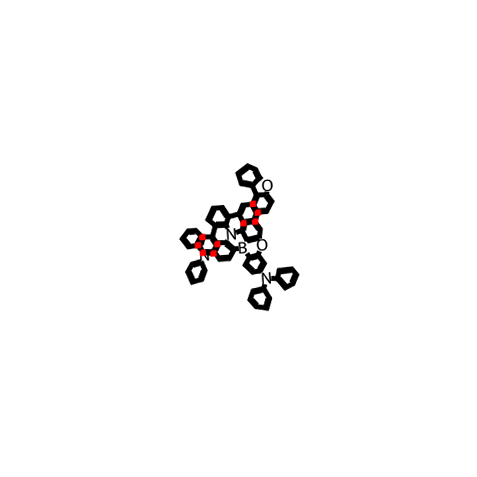 c1ccc(-c2cccc(-c3ccccc3)c2N2c3cc(N(c4ccccc4)c4ccccc4)ccc3B3c4ccc(N(c5ccccc5)c5ccccc5)cc4Oc4cc(-c5ccc6oc7ccccc7c6c5)cc2c43)cc1